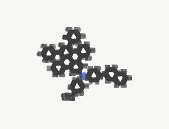 CC(C)(C)c1ccc(N(c2ccc(-c3ccc4ccccc4c3)cc2)c2ccc3c(c2)c2ccccc2c2c(-c4ccccc4)cc(-c4ccccc4)c(-c4ccccc4)c32)cc1